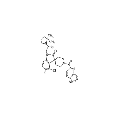 CC1(C)CCCN1C(=O)CN1C(=O)C2(CCN(C(=O)c3ccc4[nH]ncc4n3)CC2)c2c1ccc(F)c2Cl